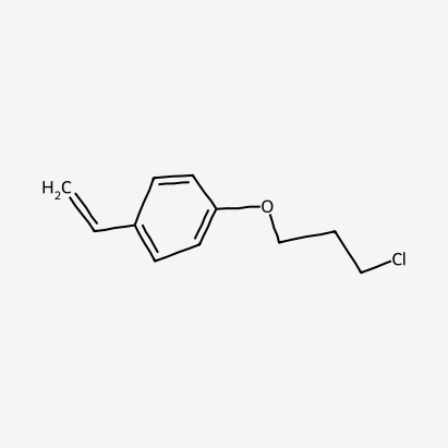 C=Cc1ccc(OCCCCl)cc1